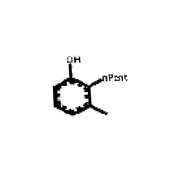 CCCCCc1c(C)cccc1O